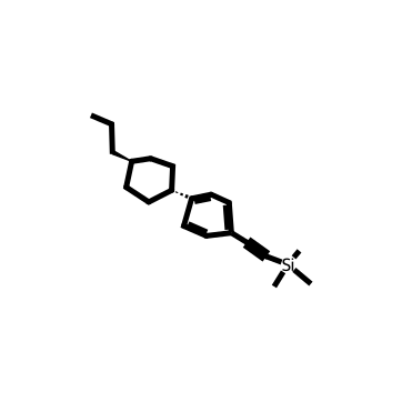 CCC[C@H]1CC[C@H](c2ccc(C#C[Si](C)(C)C)cc2)CC1